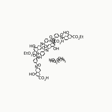 CC(=O)O.CC(=O)O.CCOC(=O)C1=CC(O)=C2CC(=NC(=O)c3cccc(NC(=O)Nc4cccc(C(=O)N=C5C=CC6C(=C(O)C=C(C(=O)OCC)C6N(C(=O)Nc6cccc(C(=O)N=C7C=CC8CC(C(=O)O)=CC(O)=C8C7)c6)c6cccc(C(=O)N=C7C=CC8CC(C(=O)O)=CC(O)=C8C7)c6)C5)c4)c3)C=CC2C1